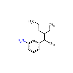 CCCC(CC)C(C)c1cccc(N)c1